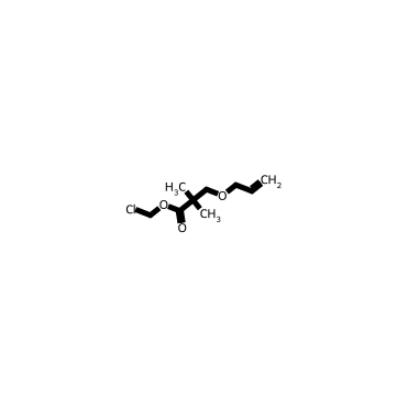 C=CCOCC(C)(C)C(=O)OCCl